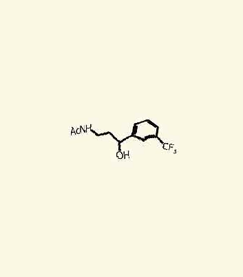 CC(=O)NCCC(O)c1cccc(C(F)(F)F)c1